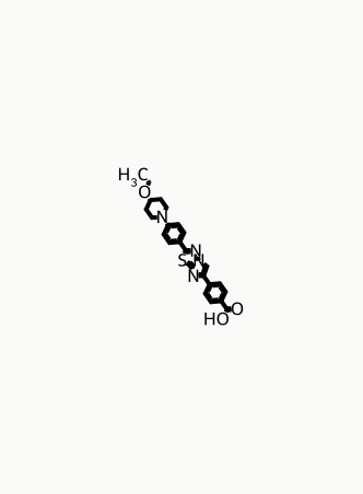 CCOC1CCN(c2ccc(-c3nn4cc(-c5ccc(C(=O)O)cc5)nc4s3)cc2)CC1